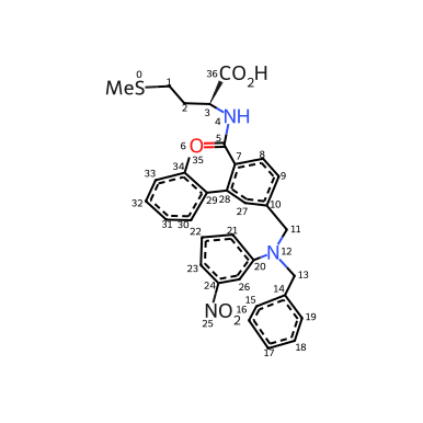 CSCC[C@H](NC(=O)c1ccc(CN(Cc2ccccc2)c2cccc([N+](=O)[O-])c2)cc1-c1ccccc1C)C(=O)O